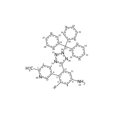 Cc1ccc(-c2c(F)cc(N)cc2-c2nnn(C(c3ccccc3)(c3ccccc3)c3ccccc3)n2)cn1